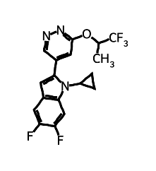 CC(Oc1cc(-c2cc3cc(F)c(F)cc3n2C2CC2)cnn1)C(F)(F)F